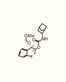 COCO[C@@H](c1ccccc1F)[C@H](C)OC(=O)NC1CC2CCC1C2